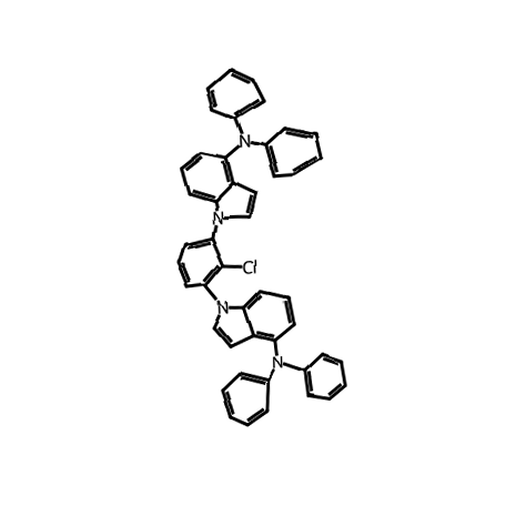 Clc1c(-n2ccc3c(N(c4ccccc4)c4ccccc4)cccc32)cccc1-n1ccc2c(N(c3ccccc3)c3ccccc3)cccc21